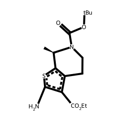 CCOC(=O)c1c(N)sc2c1CCN(C(=O)OC(C)(C)C)[C@@H]2C